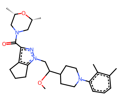 COC(Cn1nc(C(=O)N2C[C@@H](C)O[C@@H](C)C2)c2c1CCC2)C1CCN(c2cccc(C)c2C)CC1